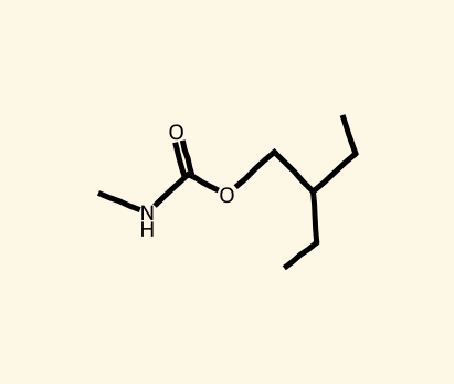 CCC(CC)COC(=O)NC